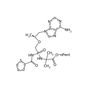 CCCCCOC(=O)C(C)(C)NP(=O)(CO[C@@H](C)Cn1cnc2c(N)ncnc21)NC(=O)c1cccs1